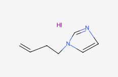 C=CCCn1ccnc1.I